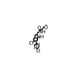 COCCC(=O)NCc1cc2cc(Cl)c(-c3cnc(OC)cn3)cc2[nH]1